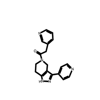 O=C(Cc1cccnc1)N1CCc2[nH]nc(-c3ccncc3)c2C1